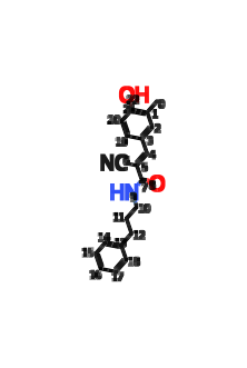 Cc1cc(/C=C(\C#N)C(=O)NCCCc2ccccc2)ccc1O